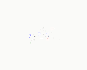 CCC(=O)N(CCOC)c1ccc(-c2cncc(F)c2)nc1C(F)(F)F